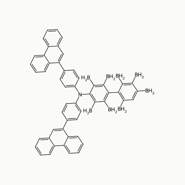 Bc1cc(B)c(-c2c(B)c(B)c(N(c3ccc(-c4cc5ccccc5c5ccccc45)cc3)c3ccc(-c4cc5ccccc5c5ccccc45)cc3)c(B)c2B)c(B)c1B